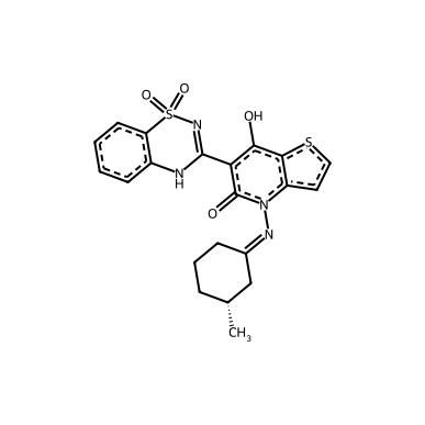 C[C@@H]1CCCC(=Nn2c(=O)c(C3=NS(=O)(=O)c4ccccc4N3)c(O)c3sccc32)C1